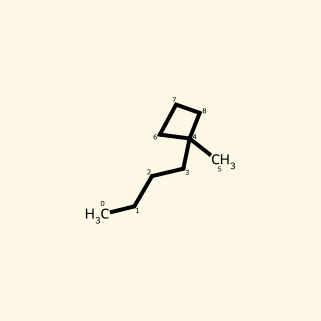 CCCCC1(C)CCC1